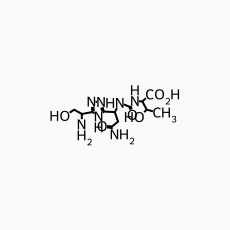 CC(O)C(NC(=O)NC(CC(N)=O)c1nnc(C(N)CO)[nH]1)C(=O)O